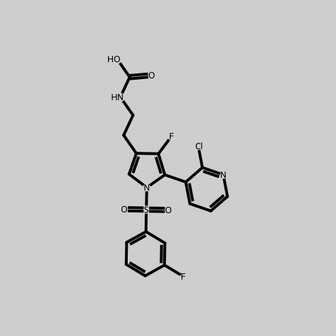 O=C(O)NCCc1cn(S(=O)(=O)c2cccc(F)c2)c(-c2cccnc2Cl)c1F